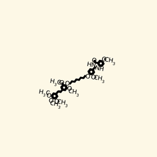 COc1ccc2c(c1)C(=O)NC(c1ccc(OCCCCCCCCOc3c(OC)cc(/C=C/c4cc(OC)c(OC)c(OC)c4)cc3OC)c(OC)c1)N2